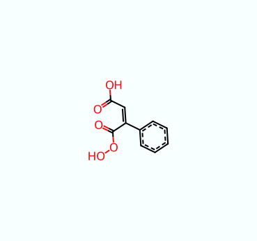 O=C(O)C=C(C(=O)OO)c1ccccc1